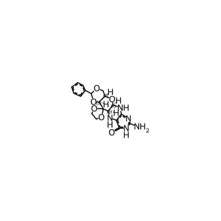 Nc1nc2c(c(=O)[nH]1)N[C@@H]1[C@H](N2)O[C@@H]2COC(c3ccccc3)O[C@@H]2C12OCCO2